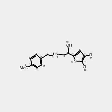 COc1ccc(CCNCC(O)c2cc(Cl)c(Cl)s2)cc1